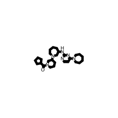 O=C(C1CCCC1)N1CCCC(N2CCCCC(Nc3nccc(N4CCCCCC4)n3)C2)C1